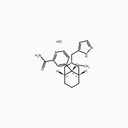 CO[C@]1(c2ccnc(C(N)=O)c2)[C@@H]2CCC[C@H]1CN(Cc1ccn[nH]1)C2.Cl